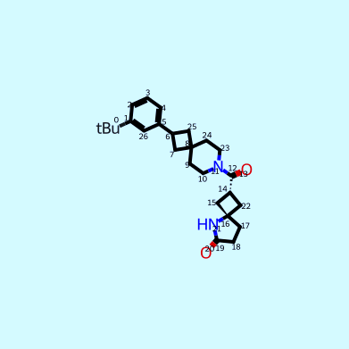 CC(C)(C)c1cccc(C2CC3(CCN(C(=O)[C@H]4C[C@]5(CCC(=O)N5)C4)CC3)C2)c1